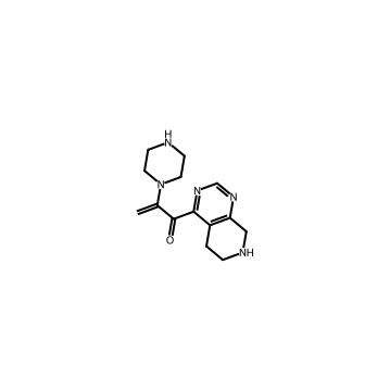 C=C(C(=O)c1ncnc2c1CCNC2)N1CCNCC1